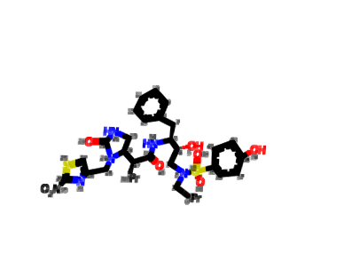 CC(C)CN(C[C@@H](O)[C@H](Cc1ccccc1)NC(=O)[C@@H](C(C)C)C1CNC(=O)N1Cc1csc([N+](=O)[O-])n1)S(=O)(=O)c1ccc(O)cc1